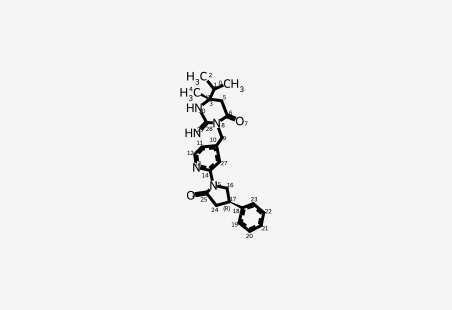 CC(C)[C@]1(C)CC(=O)N(Cc2ccnc(N3C[C@@H](c4ccccc4)CC3=O)c2)C(=N)N1